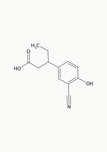 CCC(CC(=O)O)c1ccc(O)c(C#N)c1